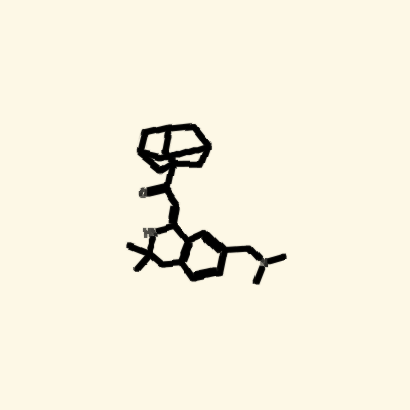 CN(C)Cc1ccc2c(c1)C(=CC(=O)C13CC4CC(CC(C4)C1)C3)NC(C)(C)C2